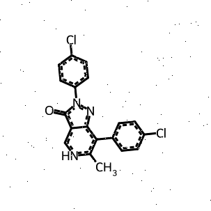 Cc1[nH]cc2c(=O)n(-c3ccc(Cl)cc3)nc-2c1-c1ccc(Cl)cc1